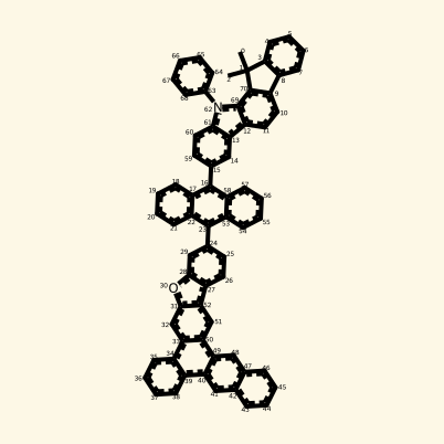 CC1(C)c2ccccc2-c2ccc3c4cc(-c5c6ccccc6c(-c6ccc7c(c6)oc6cc8c9ccccc9c9cc%10ccccc%10cc9c8cc67)c6ccccc56)ccc4n(-c4ccccc4)c3c21